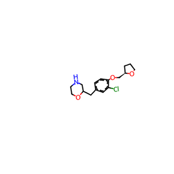 Clc1cc(CC2CNCCO2)ccc1OC[C@H]1CCCO1